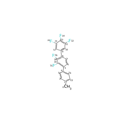 Cc1ccc(-c2ccc(-c3cc(F)c(F)c(F)c3)c(F)c2F)cc1